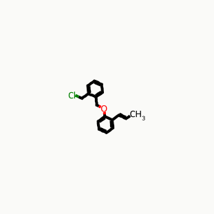 CC=Cc1ccccc1OCc1ccccc1CCl